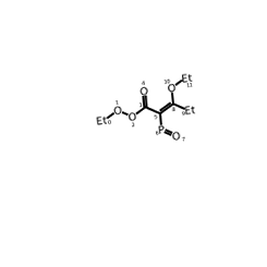 CCOOC(=O)C(P=O)=C(CC)OCC